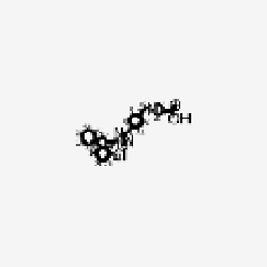 O=C(O)C1CN(Cc2ccc(-c3noc(CCC4(c5cccc(Cl)c5)CCCCC4)n3)cc2)C1